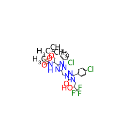 CC(C)(C)OC[C@H](NS(C)(=O)=O)c1nc(Cn2nc(-c3ccc(Cl)cc3)n(C[C@H](O)C(F)(F)F)c2=O)nn1-c1ccccc1Cl